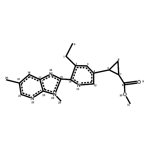 CCc1cc(C2CC2C(=O)OC)cnc1-c1nc2cc(C)cnc2n1C